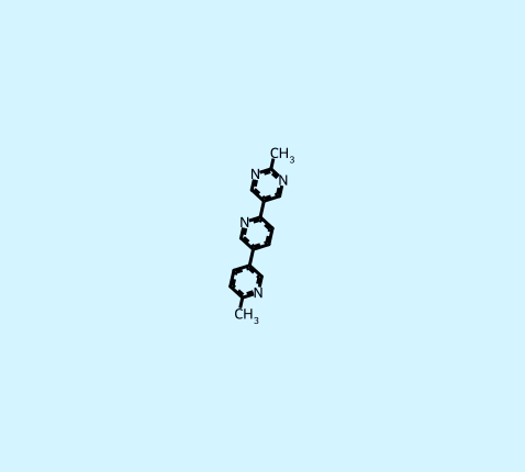 Cc1ccc(-c2ccc(-c3cnc(C)nc3)nc2)cn1